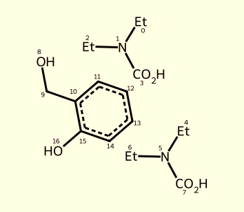 CCN(CC)C(=O)O.CCN(CC)C(=O)O.OCc1ccccc1O